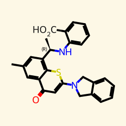 Cc1cc([C@@H](C)Nc2ccccc2C(=O)O)c2sc(N3Cc4ccccc4C3)cc(=O)c2c1